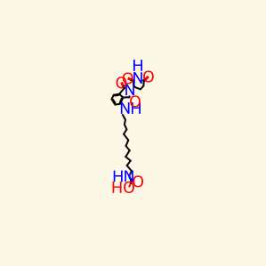 O=C(O)NCCCCCCCCCCCCNc1cccc2c1C(=O)N(C1CCC(=O)NC1=O)C2=O